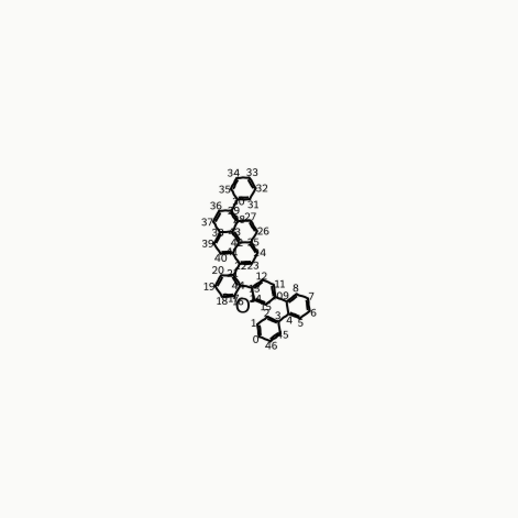 c1ccc(-c2ccccc2-c2ccc3c(c2)oc2cccc(-c4ccc5ccc6c(-c7ccccc7)ccc7ccc4c5c76)c23)cc1